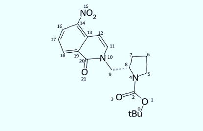 CC(C)(C)OC(=O)N1CCC[C@H]1Cn1ccc2c([N+](=O)[O-])cccc2c1=O